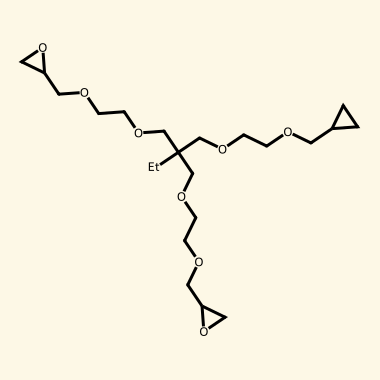 CCC(COCCOCC1CC1)(COCCOCC1CO1)COCCOCC1CO1